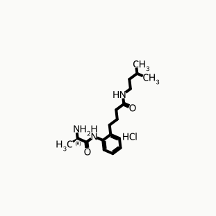 CC(C)CCNC(=O)CCCc1ccccc1NC(=O)[C@@H](C)N.Cl